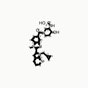 Cn1c(-c2cc3cccnc3n2CC2CC2)nc2cc(C(=O)N3CC[C@@H](O)[C@H](NC(=O)O)C3)ccc21